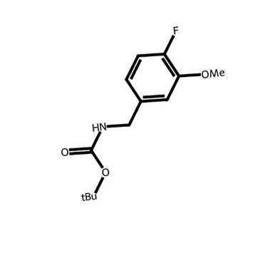 COc1cc(CNC(=O)OC(C)(C)C)ccc1F